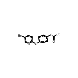 CCC(=O)Oc1ccc(Oc2ccc(Br)cn2)cc1